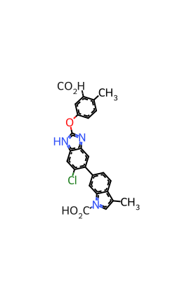 Cc1ccc(Oc2nc3cc(-c4ccc5c(C)cn(C(=O)O)c5c4)c(Cl)cc3[nH]2)cc1C(=O)O